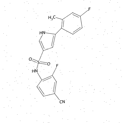 Cc1cc(F)ccc1-c1cc(S(=O)(=O)Nc2ccc(C#N)cc2F)c[nH]1